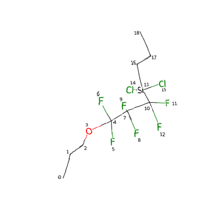 CCCOC(F)(F)C(F)(F)C(F)(F)[Si](Cl)(Cl)CCC